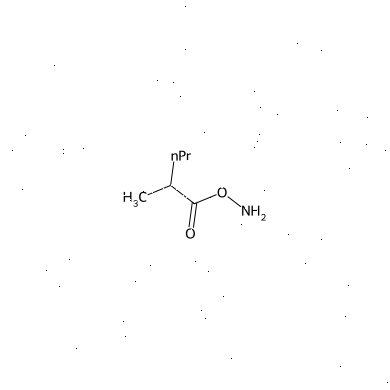 CCCC(C)C(=O)ON